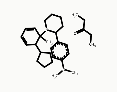 CCC(=O)CC.CN(C)c1ccc(C2CCCCN2C2(C)C=CC=CC2C2CCCC2)cc1